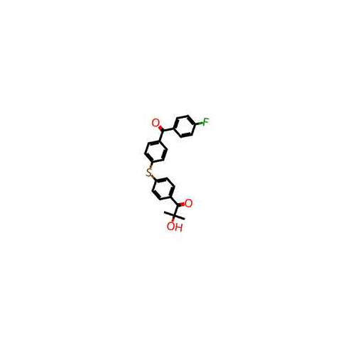 CC(C)(O)C(=O)c1ccc(Sc2ccc(C(=O)c3ccc(F)cc3)cc2)cc1